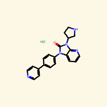 Cl.O=c1n(-c2ccc(-c3ccncc3)cc2)c2cccnc2n1C1CCNC1